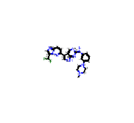 CN1CCN(c2cccc(Nc3ncc4c(-c5ccc6ncc(C(F)F)n6n5)c[nH]c4n3)c2)CC1